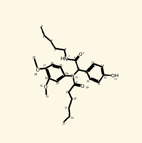 CCCCCNC(=O)C(c1ccc(O)cc1)N(C(=O)CCCCC)c1ccc(OC)c(OC)c1